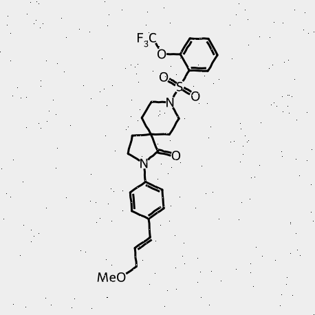 COCC=Cc1ccc(N2CCC3(CCN(S(=O)(=O)c4ccccc4OC(F)(F)F)CC3)C2=O)cc1